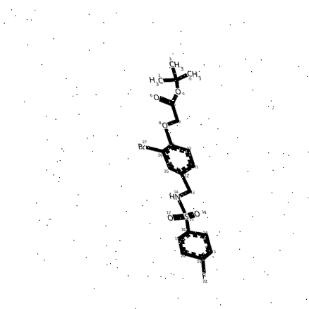 CC(C)(C)OC(=O)COc1ccc(CNS(=O)(=O)c2ccc(F)cc2)cc1Br